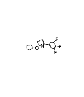 Fc1cc(-c2cccc(OC3CCCC3)n2)cc(F)c1F